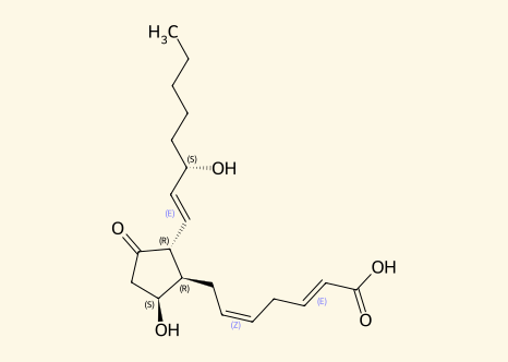 CCCCC[C@H](O)/C=C/[C@H]1C(=O)C[C@H](O)[C@@H]1C/C=C\C/C=C/C(=O)O